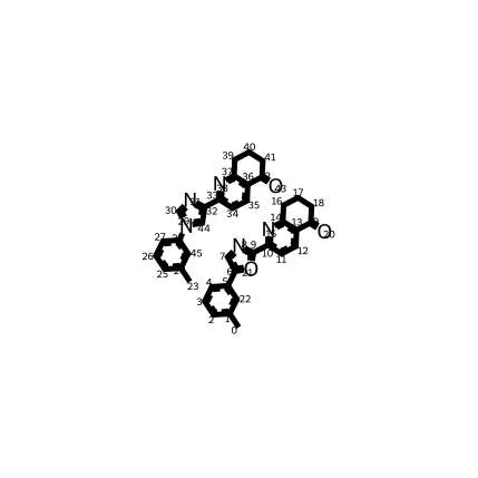 Cc1cccc(-c2cnc(-c3ccc4c(n3)CCCC4=O)o2)c1.Cc1cccc(-n2cnc(-c3ccc4c(n3)CCCC4=O)c2)c1